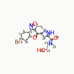 Cc1onc(-c2ccc(Br)cc2)c1C(=O)c1c[nH]c(C(=O)N(C)CCO)c1